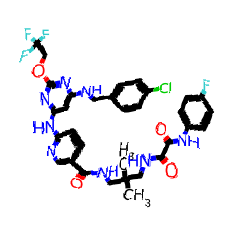 CC(C)(CNC(=O)C(=O)Nc1ccc(F)cc1)CNC(=O)c1ccc(Nc2cc(NCc3ccc(Cl)cc3)nc(OCC(F)(F)F)n2)nc1